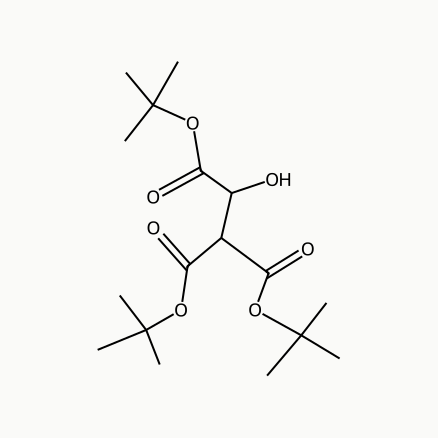 CC(C)(C)OC(=O)C(O)C(C(=O)OC(C)(C)C)C(=O)OC(C)(C)C